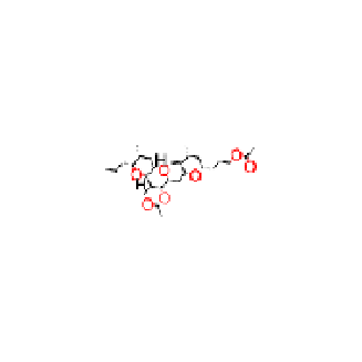 C=C1C(C[C@@H]2O[C@H]3C[C@@H](C)[C@@H](CCC)O[C@H]3[C@H](C)[C@H]2OC(C)=O)O[C@@H](CCCOC(C)=O)C[C@H]1C